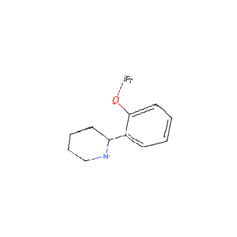 CC(C)Oc1ccccc1C1CCCC[N]1